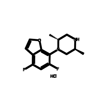 C[C@@H]1CN[C@@H](C)CN1c1c(F)cc(F)c2ccoc12.Cl